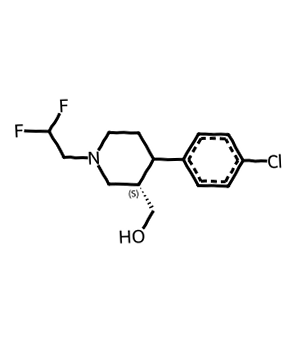 OC[C@@H]1CN(CC(F)F)CCC1c1ccc(Cl)cc1